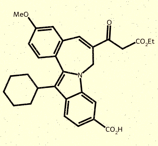 CCOC(=O)CC(=O)C1=Cc2cc(OC)ccc2-c2c(C3CCCCC3)c3ccc(C(=O)O)cc3n2C1